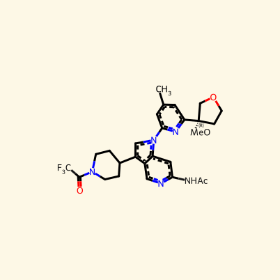 CO[C@@]1(c2cc(C)cc(-n3cc(C4CCN(C(=O)C(F)(F)F)CC4)c4cnc(NC(C)=O)cc43)n2)CCOC1